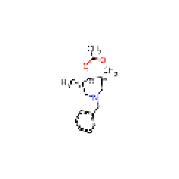 CC(=O)O[C@@H]1[C@H](C)CN(Cc2ccccc2)C[C@@H]1C